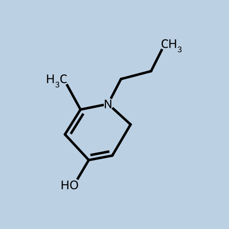 CCCN1CC=C(O)C=C1C